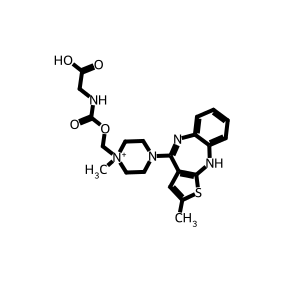 Cc1cc2c(s1)Nc1ccccc1N=C2N1CC[N+](C)(COC(=O)NCC(=O)O)CC1